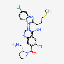 CSCCC(Nc1ncnc2cc(C(=O)N3CCC[C@@H]3CN)c(Cl)cc12)c1nc2cc(Cl)ccc2[nH]1